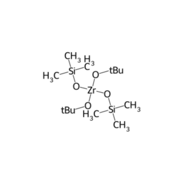 CC(C)(C)[O][Zr]([O]C(C)(C)C)([O][Si](C)(C)C)[O][Si](C)(C)C